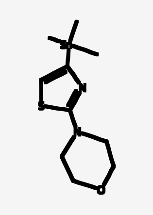 [CH3][Sn]([CH3])([CH3])[c]1csc(N2CCOCC2)n1